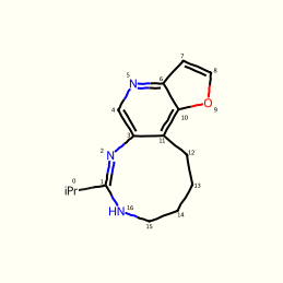 CC(C)/C1=N/c2cnc3ccoc3c2CCCCN1